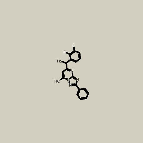 Oc1cc(C(S)c2cccc(F)c2F)nc2nc(-c3ccccc3)nn12